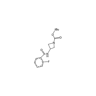 CC(C)(C)OC(=O)N1CC(NC(=O)c2ccccc2F)C1